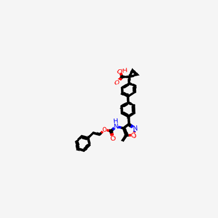 Cc1onc(-c2ccc(-c3ccc(C4(C(=O)O)CC4)cc3)cc2)c1NC(=O)OCCc1ccccc1